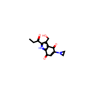 CCC(=O)c1[nH]c2c(c1CO)C(=O)C(N1CC1)=CC2=O